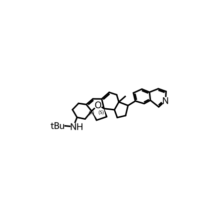 CC(C)(C)NC1CCC2=CC3=CCC4(C)C(c5ccc6ccncc6c5)CCC4[C@@]34CC[C@]2(C1)O4